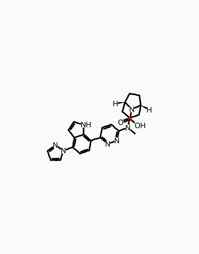 CN(c1ccc(-c2ccc(-n3cccn3)c3cc[nH]c23)nn1)[C@@H]1C[C@H]2CC[C@@H](C1)N2C(=O)O